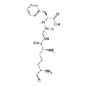 NC(C=O)CCC[C@H](N)C(=O)NCC(=O)N[C@@H](Cc1ccccc1)C(=O)O